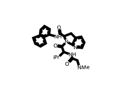 CNCC(=O)NC(C(=O)N1c2ncccc2CC1C(=O)Nc1cccc2ccccc12)C(C)C